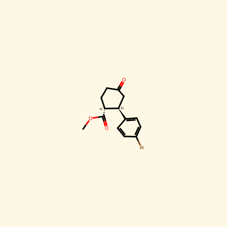 COC(=O)[C@@H]1CCC(=O)C[C@H]1c1ccc(Br)cc1